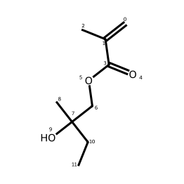 C=C(C)C(=O)OCC(C)(O)CC